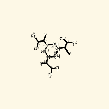 CCC(Cl)C(C)N1BN(C(C)C(Cl)CC)BN(C(C)C(Cl)CC)B1